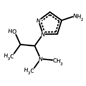 CC(O)C(N(C)C)n1cc(N)cn1